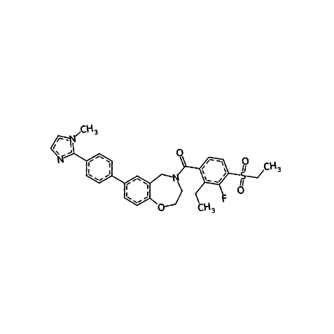 CCc1c(C(=O)N2CCOc3ccc(-c4ccc(-c5nccn5C)cc4)cc3C2)ccc(S(=O)(=O)CC)c1F